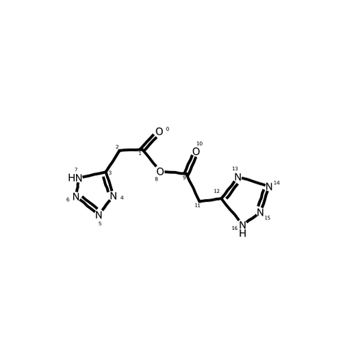 O=C(Cc1nnn[nH]1)OC(=O)Cc1nnn[nH]1